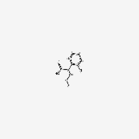 CCOC(C(=O)O)c1ncccc1Cl